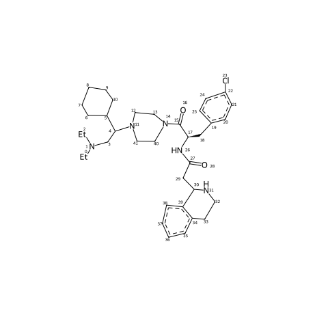 CCN(CC)CC(C1CCCCC1)N1CCN(C(=O)[C@@H](Cc2ccc(Cl)cc2)NC(=O)CC2NCCc3ccccc32)CC1